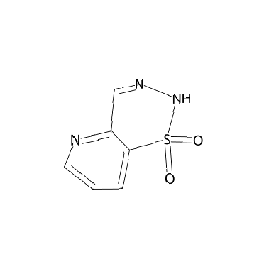 O=S1(=O)NN=Cc2ncccc21